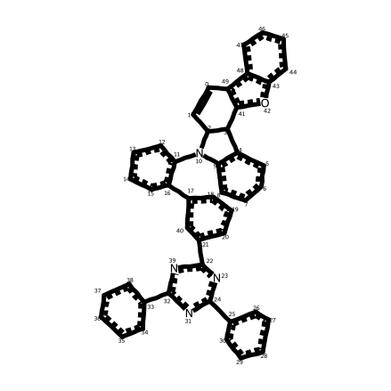 C1=CC2C(c3ccccc3N2c2ccccc2-c2cccc(-c3nc(-c4ccccc4)nc(-c4ccccc4)n3)c2)c2oc3ccccc3c21